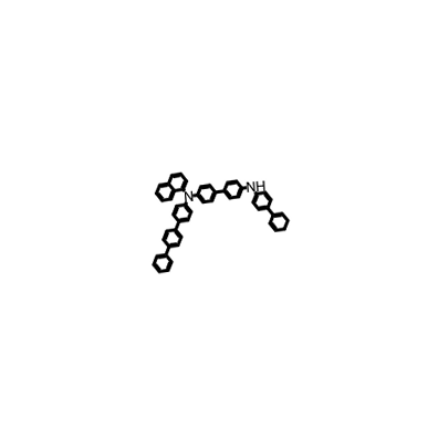 C1=CC(c2ccc(Nc3ccc(-c4ccc(N(c5ccc(-c6ccc(-c7ccccc7)cc6)cc5)c5cccc6ccccc56)cc4)cc3)cc2)=CCC1